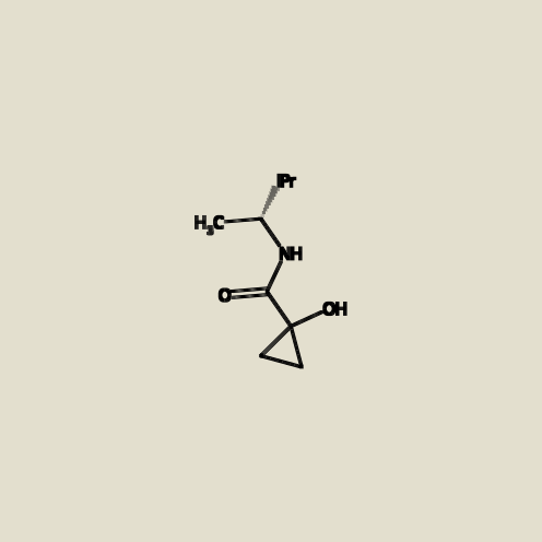 CC(C)[C@@H](C)NC(=O)C1(O)CC1